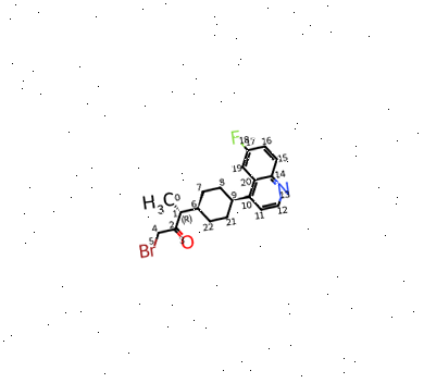 C[C@@H](C(=O)CBr)[C@H]1CC[C@@H](c2ccnc3ccc(F)cc32)CC1